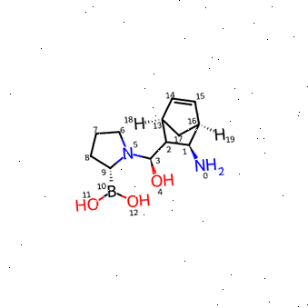 N[C@H]1C([C@@H](O)N2CCC[C@H]2B(O)O)[C@H]2C=C[C@@H]1C2